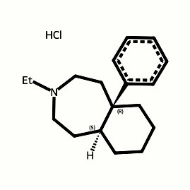 CCN1CC[C@@H]2CCCC[C@@]2(c2ccccc2)CC1.Cl